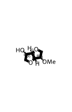 CO[C@@H]1CO[C@H]2[C@H]1OC[C@H]2O